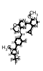 COc1ncnc(C2CC2)c1-c1ncc2c(n1)N(Cc1ccc(-c3nc(C(F)(F)F)cn3C)cc1F)CCO2